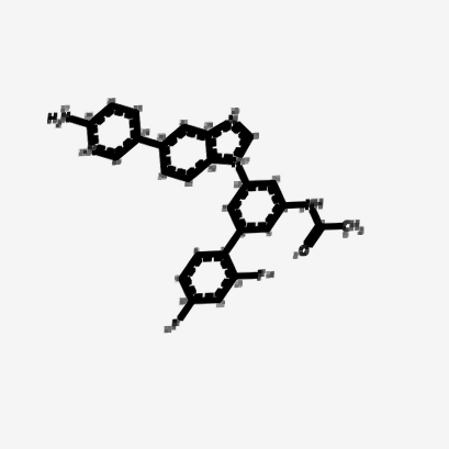 CC(=O)Nc1cc(-c2ccc(F)cc2F)cc(-n2cnc3cc(-c4ccc(N)nc4)ccc32)c1